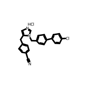 Cl.N#Cc1ccc(Cc2cncn2Cc2ccc(-c3ccc(Cl)cc3)cc2)cc1